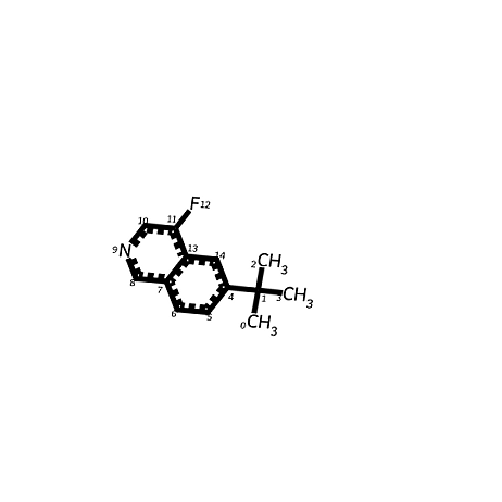 CC(C)(C)c1ccc2cncc(F)c2c1